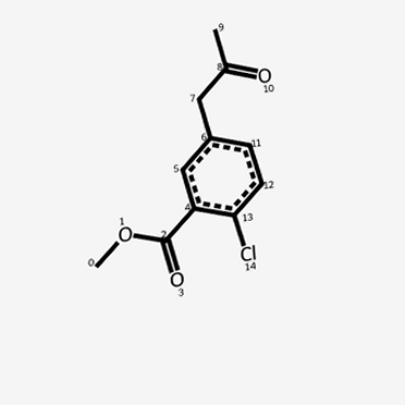 COC(=O)c1cc(CC(C)=O)ccc1Cl